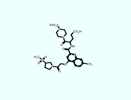 CCOC(=O)N1CCN(C(=O)C(CCC(=O)O)NC(=O)c2cc(OCC(=O)N3CCC(S(C)(=O)=O)C3)c3ccc(C)cc3n2)CC1